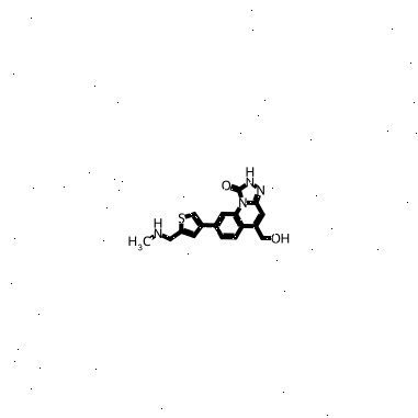 CNCc1cc(-c2ccc3c(CO)cc4n[nH]c(=O)n4c3c2)cs1